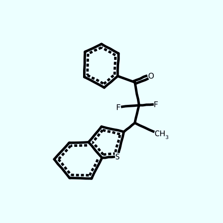 CC(c1cc2ccccc2s1)C(F)(F)C(=O)c1ccccc1